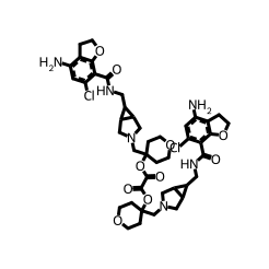 Nc1cc(Cl)c(C(=O)NCC2C3CN(CC4(OC(=O)C(=O)OC5(CN6CC7C(CNC(=O)c8c(Cl)cc(N)c9c8OCC9)C7C6)CCOCC5)CCOCC4)CC23)c2c1CCO2